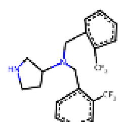 FC(F)(F)c1ccccc1CN(Cc1ccccc1C(F)(F)F)C1CCNC1